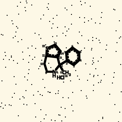 CC1(c2ccccc2)NCCc2sccc21.Cl